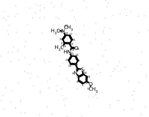 COc1ccc2nc(-c3ccc(NC(=O)c4ccc(N(C)C)cc4C)cc3)sc2c1